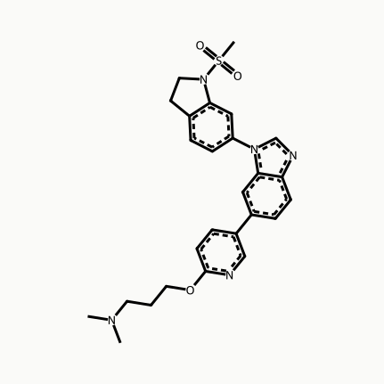 CN(C)CCCOc1ccc(-c2ccc3ncn(-c4ccc5c(c4)N(S(C)(=O)=O)CC5)c3c2)cn1